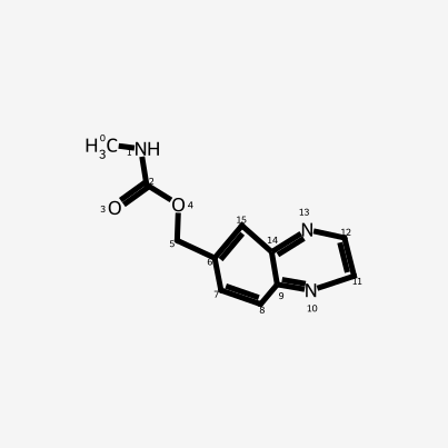 CNC(=O)OCc1ccc2nccnc2c1